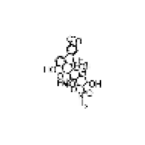 C[C@H]1c2c(-c3ccc4c(c3)OCO4)ccc(O)c2C(=O)C2=C(O)[C@]3(O)C(=O)C(C(N)=O)C(O)C[C@@H]3[C@@H](O)[C@@H]21